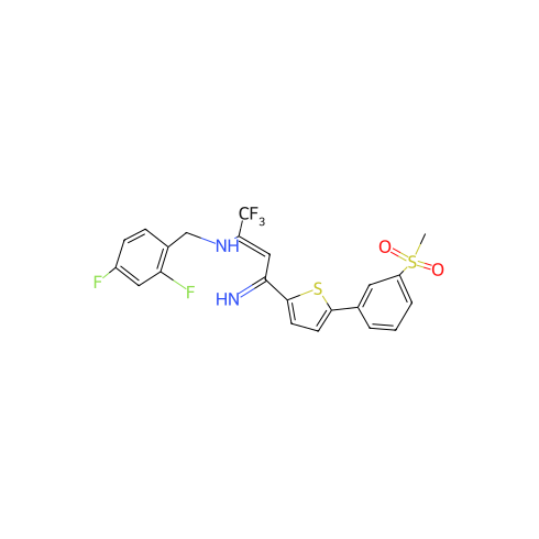 CS(=O)(=O)c1cccc(-c2ccc(C(=N)/C=C(\NCc3ccc(F)cc3F)C(F)(F)F)s2)c1